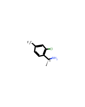 C[C@@H](N)c1ccc(C(F)(F)F)cc1Cl